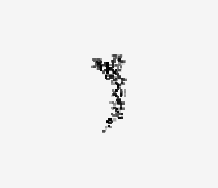 CCCOCCC(=O)N1CCN(c2ccc(-c3ccc4c(c3)C(=O)N(C(C(=O)Nc3nccs3)c3ccccc3)C4)cc2)CC1